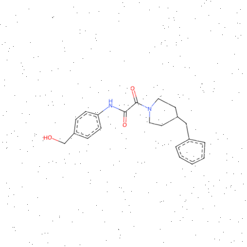 O=C(Nc1ccc(CO)cc1)C(=O)N1CCC(Cc2ccccc2)CC1